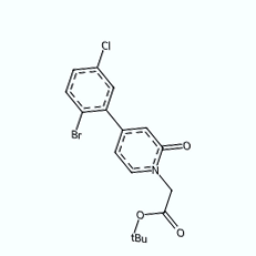 CC(C)(C)OC(=O)Cn1ccc(-c2cc(Cl)ccc2Br)cc1=O